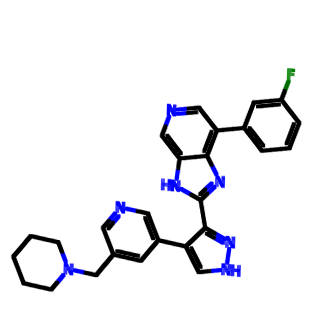 Fc1cccc(-c2cncc3[nH]c(-c4n[nH]cc4-c4cncc(CN5CCCCC5)c4)nc23)c1